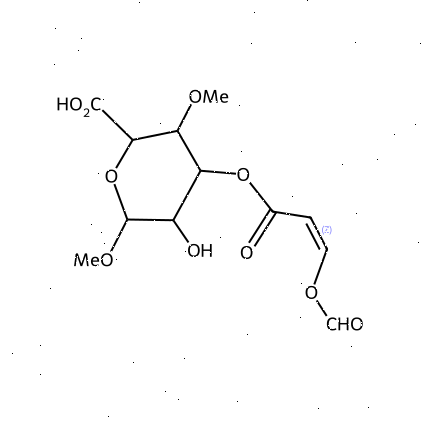 COC1OC(C(=O)O)C(OC)C(OC(=O)/C=C\OC=O)C1O